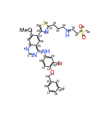 COc1cc2ncnc(Nc3ccc(OCc4cccc(F)c4)c(Br)c3)c2cc1-c1csc(CCCNCCS(C)(=O)=O)n1